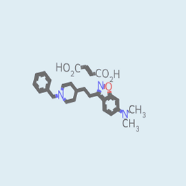 CN(C)c1ccc2c(CCC3CCN(Cc4ccccc4)CC3)noc2c1.O=C(O)C=CC(=O)O